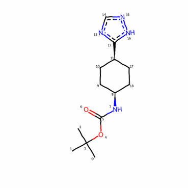 CC(C)(C)OC(=O)N[C@H]1CC[C@@H](c2ncn[nH]2)CC1